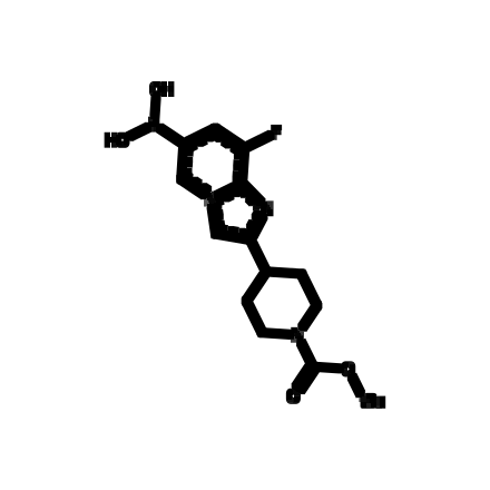 CC(C)(C)OC(=O)N1CCC(c2cn3cc(B(O)O)cc(F)c3n2)CC1